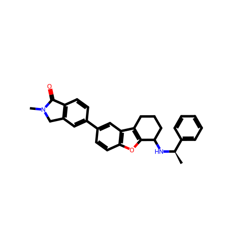 C[C@@H](NC1CCCc2c1oc1ccc(-c3ccc4c(c3)CN(C)C4=O)cc21)c1ccccc1